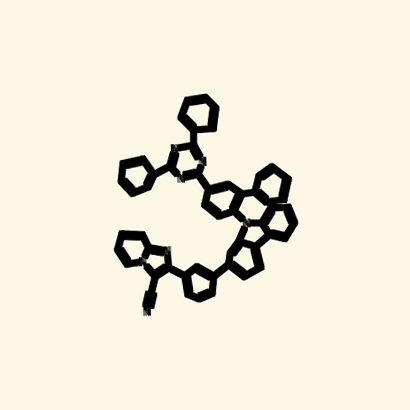 N#Cc1c(-c2cccc(-c3ccc4c5ccccc5n(-c5ccc(-c6nc(-c7ccccc7)nc(-c7ccccc7)n6)cc5-c5ccccc5)c4c3)c2)nc2ccccn12